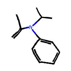 C=C(C)N(c1ccccc1)C(C)C